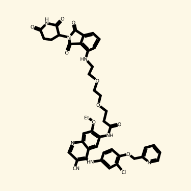 CCOc1cc2ncc(C#N)c(Nc3ccc(OCc4ccccn4)c(Cl)c3)c2cc1NC(=O)CCOCCOCCNc1cccc2c1C(=O)N(C1CCC(=O)NC1=O)C2=O